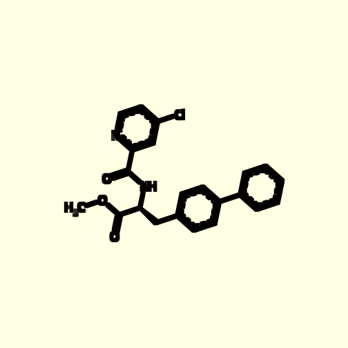 COC(=O)[C@H](Cc1ccc(-c2ccccc2)cc1)NC(=O)c1cc(Cl)ccn1